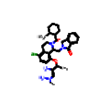 CC(Oc1ccc(Br)c2c1C(CN1Cc3ccccc3C1=O)N(C(=O)C1CCCCC1C(=O)O)CC2)/C(N)=C/N(N)C(C)C